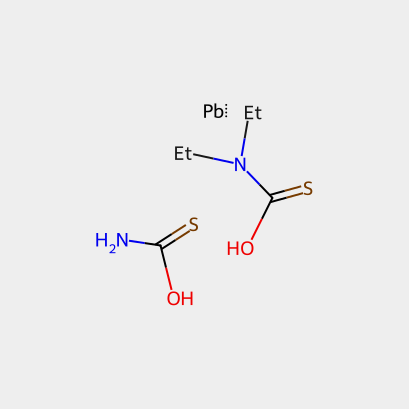 CCN(CC)C(O)=S.NC(O)=S.[Pb]